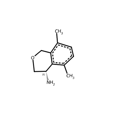 Cc1ccc(C)c2c1COC[C@H]2N